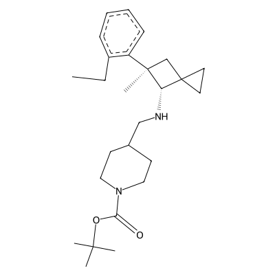 CCc1ccccc1[C@@]1(C)CC2(CC2)[C@@H]1NCC1CCN(C(=O)OC(C)(C)C)CC1